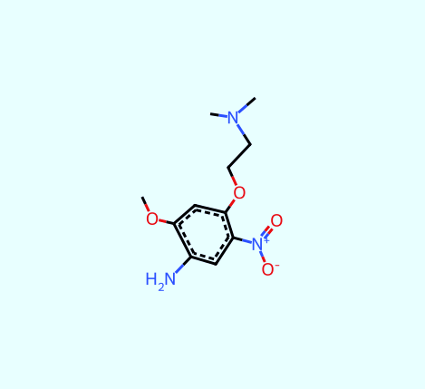 COc1cc(OCCN(C)C)c([N+](=O)[O-])cc1N